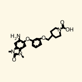 Cn1c(=O)n(C)c2cc(Oc3cccc(OCC4CCN(C(=O)O)CC4)c3)c(N)cc21